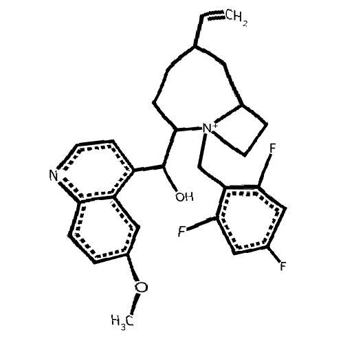 C=CC1CCC(C(O)c2ccnc3ccc(OC)cc23)[N+]2(Cc3c(F)cc(F)cc3F)CCC2C1